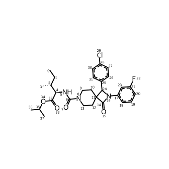 CC[C@@H](C)[C@@H](NC(=O)N1CCC2(CC1)C(=O)N(c1cccc(F)c1)C2c1ccc(Cl)cc1)C(=O)OC(C)C